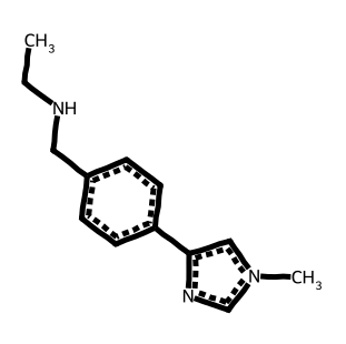 CCNCc1ccc(-c2cn(C)cn2)cc1